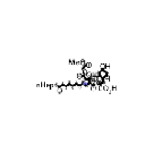 CCCCCCCC(=O)CCCCCC/C=C/[C@H](C(=O)N[C@@H](Cc1ccc(O)cc1)C(=O)O)[C@@](O)(CC(=O)OCC(=O)OC)C(=O)O